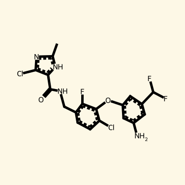 Cc1nc(Cl)c(C(=O)NCc2ccc(Cl)c(Oc3cc(N)cc(C(F)F)c3)c2F)[nH]1